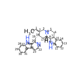 C/C=C1/CN2CCc3c([nH]c4ccccc34)[C@@H]2C[C@@H]1Cc1nccc2c1[nH]c1ccccc12